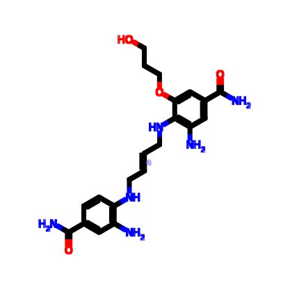 NC(=O)c1ccc(NC/C=C/CNc2c(N)cc(C(N)=O)cc2OCCCO)c(N)c1